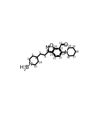 BN1CCC(CCc2noc3c(C=O)c(N4CCCCC4)ccc23)CC1